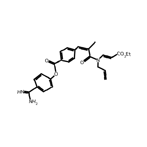 C=CCN(C=CC(=O)OCC)C(=O)C(C)=Cc1ccc(C(=O)Oc2ccc(C(=N)N)cc2)cc1